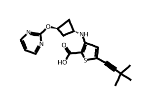 CC(C)(C)C#Cc1cc(N[C@H]2C[C@H](Oc3ncccn3)C2)c(C(=O)O)s1